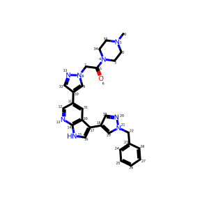 CN1CCN(C(=O)Cn2cc(-c3cnc4[nH]cc(-c5cnn(Cc6ccccc6)c5)c4c3)cn2)CC1